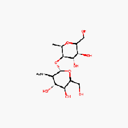 CC(=O)NC1[C@H](OC2[C@@H](O)[C@H](O)C(CO)O[C@@H]2C)OC(CO)[C@@H](O)[C@@H]1O